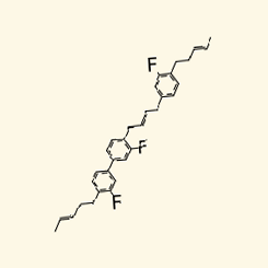 C/C=C/CCc1ccc(C/C=C/Cc2ccc(-c3ccc(CC/C=C/C)c(F)c3)cc2F)cc1F